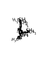 Cc1ccc(Nc2cc3ncn(COCC[Si](C)(C)C)c3cc2OCCN(C)C)nn1